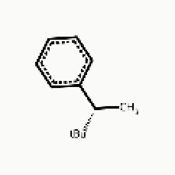 C[C@@H](c1ccccc1)C(C)(C)C